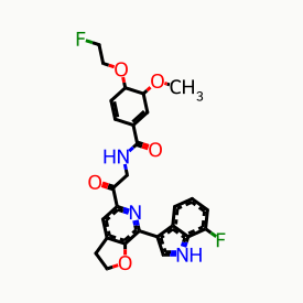 COC1C=C(C(=O)NCC(=O)c2cc3c(c(-c4c[nH]c5c(F)cccc45)n2)OCC3)C=CC1OCCF